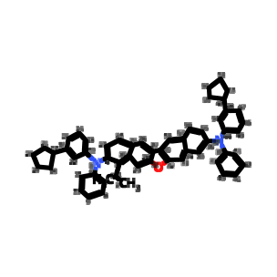 CC(C)c1c(N(c2ccccc2)c2cccc(C3CCCC3)c2)ccc2cc3c(cc12)oc1cc2cc(N(c4ccccc4)c4cccc(C5CCCC5)c4)ccc2cc13